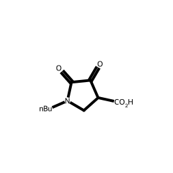 CCCCN1CC(C(=O)O)C(=O)C1=O